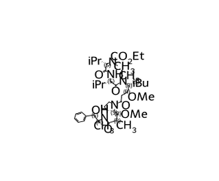 CCOC(=O)N(C)[C@H](C(=O)N[C@H](C(=O)N(C)[C@H]([C@@H](C)CC)[C@@H](CC(=O)N1CCC[C@H]1[C@H](OC)[C@@H](C)C(=O)N[C@H](C)[C@@H](O)c1ccccc1)OC)C(C)C)C(C)C